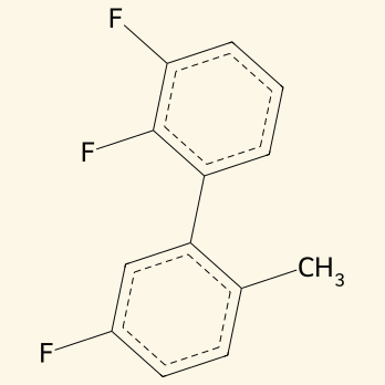 Cc1ccc(F)cc1-c1cccc(F)c1F